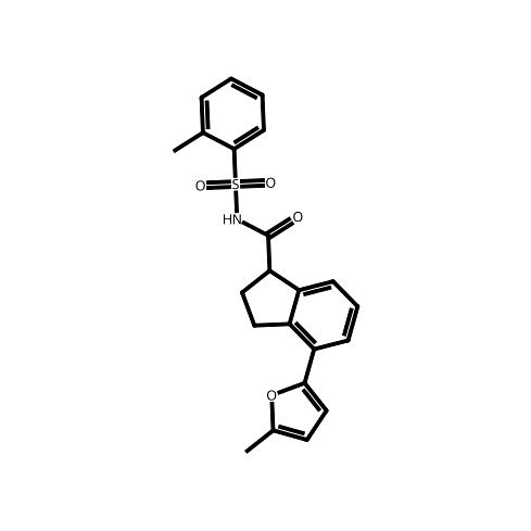 Cc1ccc(-c2cccc3c2CCC3C(=O)NS(=O)(=O)c2ccccc2C)o1